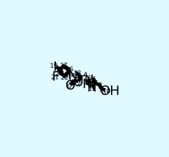 O=C1O[C@@H](Cn2cc(CCO)nn2)CN1c1ccc(I)c(F)c1